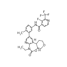 CCN1C(=O)O[C@H]2COCC[C@@H]2c2cc(-c3cc(NC(=O)c4ccnc(C(F)(F)F)c4F)ccc3C)cnc21